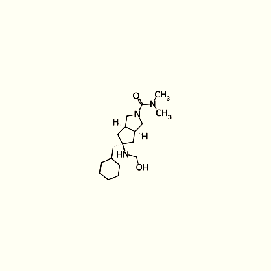 CN(C)C(=O)N1C[C@@H]2C[C@](CC3CCCCC3)(NCO)C[C@@H]2C1